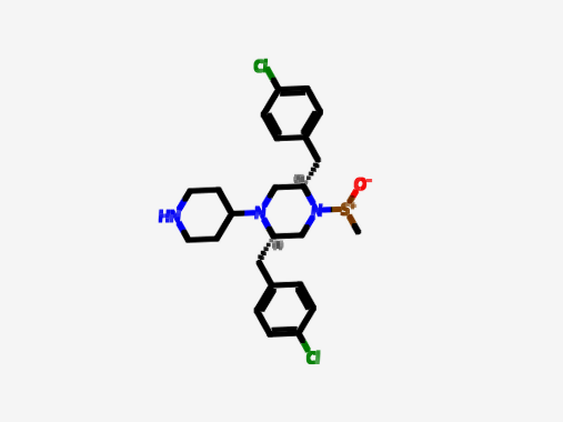 C[S+]([O-])N1C[C@H](Cc2ccc(Cl)cc2)N(C2CCNCC2)C[C@@H]1Cc1ccc(Cl)cc1